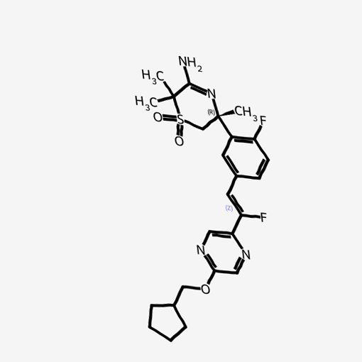 CC1(C)C(N)=N[C@](C)(c2cc(/C=C(\F)c3cnc(OCC4CCCC4)cn3)ccc2F)CS1(=O)=O